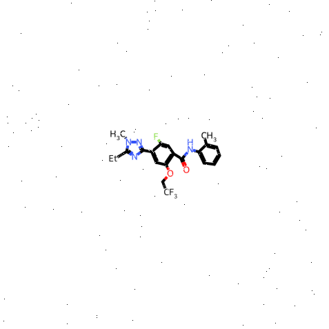 CCc1nc(-c2cc(OCC(F)(F)F)c(C(=O)Nc3ccccc3C)cc2F)nn1C